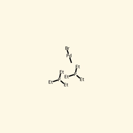 CCP(CC)CC.CCP(CC)CC.[CH3][Pd][Br]